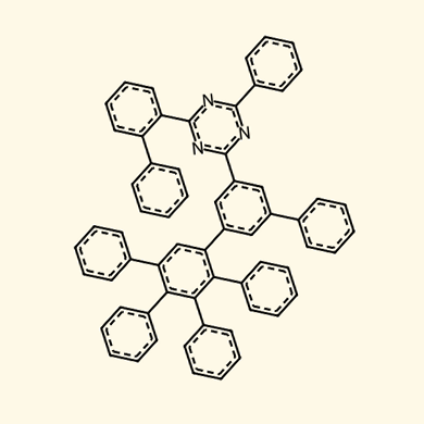 c1ccc(-c2cc(-c3nc(-c4ccccc4)nc(-c4ccccc4-c4ccccc4)n3)cc(-c3cc(-c4ccccc4)c(-c4ccccc4)c(-c4ccccc4)c3-c3ccccc3)c2)cc1